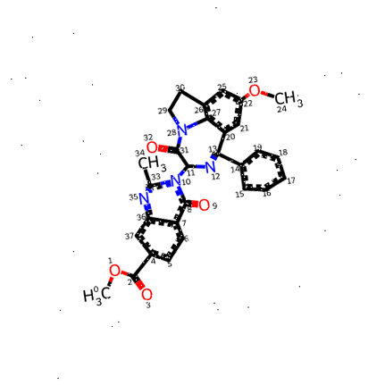 COC(=O)c1ccc2c(=O)n(C3N=C(c4ccccc4)c4cc(OC)cc5c4N(CC5)C3=O)c(C)nc2c1